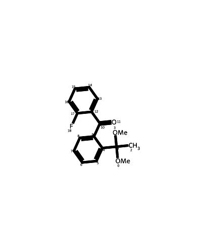 COC(C)(OC)c1ccccc1C(=O)c1ccccc1F